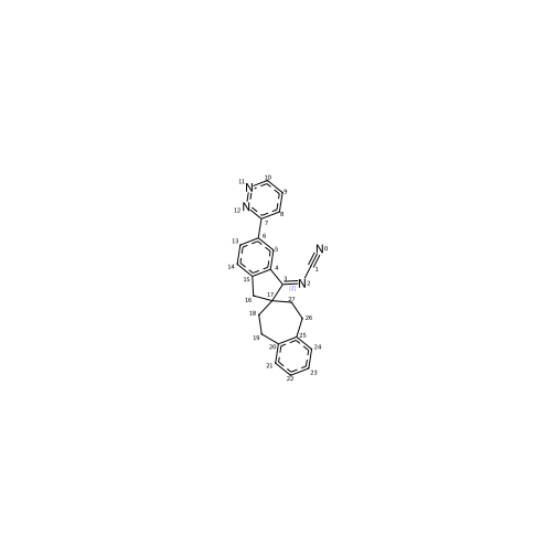 N#C/N=C1\c2cc(-c3cccnn3)ccc2CC12CCc1ccccc1CC2